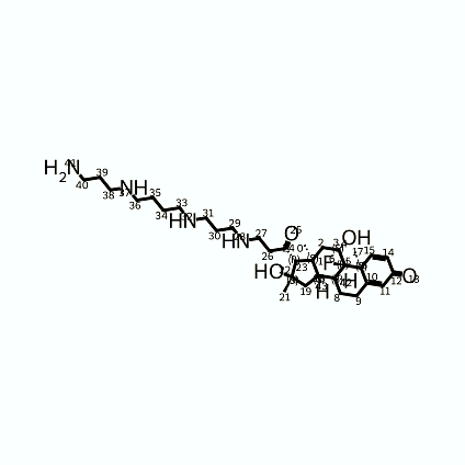 C[C@]12C[C@H](O)[C@@]3(F)[C@@H](CCC4=CC(=O)C=C[C@@]43C)[C@@H]1C[C@](C)(O)[C@@H]2C(=O)CCNCCCNCCCCNCCCN